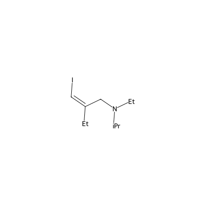 CC/C(=C/I)CN(CC)C(C)C